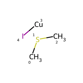 CSC.[Cu][I]